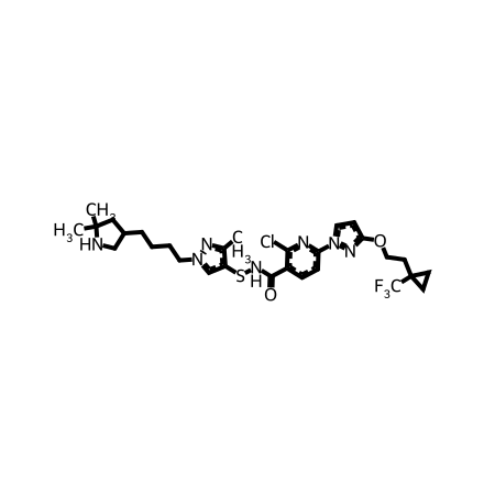 Cc1nn(CCCCC2CNC(C)(C)C2)cc1SNC(=O)c1ccc(-n2ccc(OCCC3(C(F)(F)F)CC3)n2)nc1Cl